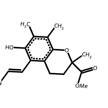 COC(=O)C1(C)CCc2c(C=C[N+](=O)[O-])c(O)c(C)c(C)c2O1